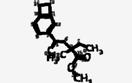 CCC(C)(CC(C)c1ccc2c(c1)CC2)C(=O)OC